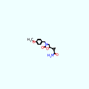 COc1ccc(CN2CC(C3CC3C(N)=O)OC2=O)cc1